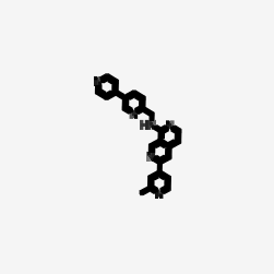 Cc1cc(-c2cc3ccnc(NCc4ccc(-c5ccncc5)cn4)c3cn2)ccn1